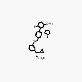 COc1ccc(F)c(-c2ccc(COc3cccc([C@@H](CC(=O)O)C4CC4)c3)cc2[C@@H]2CCC[C@H]2C)c1